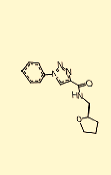 O=C(NCC1CCCO1)c1cn(-c2ccccc2)nn1